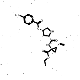 C=C[C@@H]1C[C@]1(NC(=O)[C@@H]1C[C@H](OC(=O)c2ccc(N)cc2)CN1)C(=O)OCC